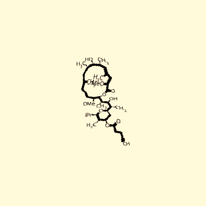 C#CCCC(=O)O[C@@H]1C[C@H]([C@@H](C)[C@H](O)[C@H](C)[C@H]2OC(=O)/C(OC)=C/C(C)=C/[C@@H](C)[C@@H](O)[C@@H](C)C/C(C)=C/C=C/[C@@H]2OC)O[C@H](C(C)C)[C@H]1C